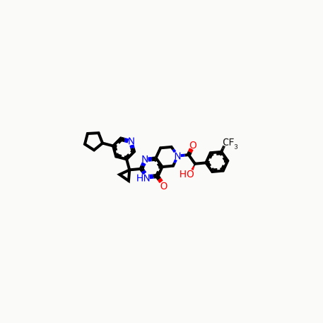 O=C([C@H](O)c1cccc(C(F)(F)F)c1)N1CCc2nc(C3(c4cncc(C5CCCC5)c4)CC3)[nH]c(=O)c2C1